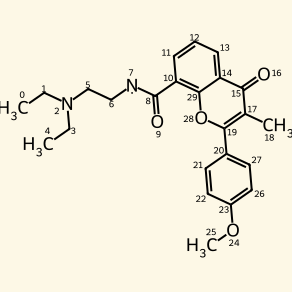 CCN(CC)CC[N]C(=O)c1cccc2c(=O)c(C)c(-c3ccc(OC)cc3)oc12